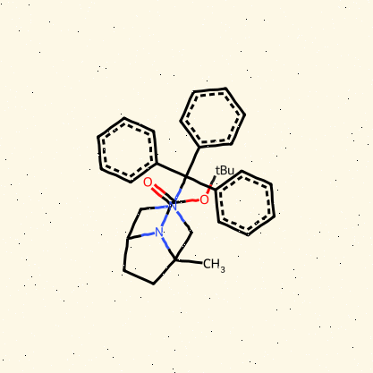 CC(C)(C)OC(=O)N1C2CCC1(C)CN(C(c1ccccc1)(c1ccccc1)c1ccccc1)C2